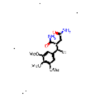 CCC(c1cc(OC)c(OC)c(OC)c1)C(CC(N)=O)C(N)=O